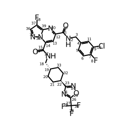 O=C(NCc1ccc(F)c(Cl)c1)c1cc(C(=O)NC[C@H]2CC[C@H](c3noc(C(F)(F)F)n3)CC2)n2ncc(F)c2n1